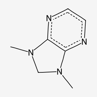 CN1CN(C)c2nccnc21